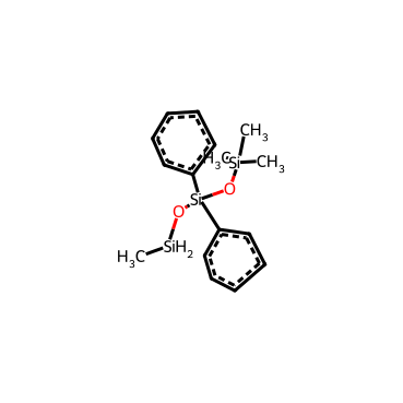 C[SiH2]O[Si](O[Si](C)(C)C)(c1ccccc1)c1ccccc1